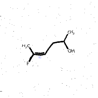 C/C(F)=C\CC(C)O